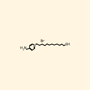 NCc1cc[n+](CCCCCCCCCCCCS)cc1.[Br-]